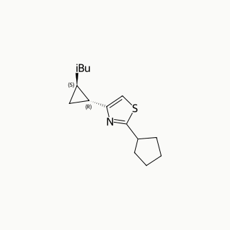 CCC(C)[C@@H]1C[C@H]1c1csc(C2CCCC2)n1